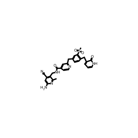 Cc1nc(N)cc(C#N)c1CNC(=O)c1ccnc(Cc2ccc(Cc3ccc[nH]c3=O)c(S(C)(=O)=O)c2)c1